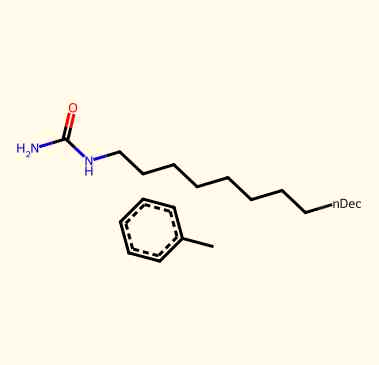 CCCCCCCCCCCCCCCCCCNC(N)=O.Cc1ccccc1